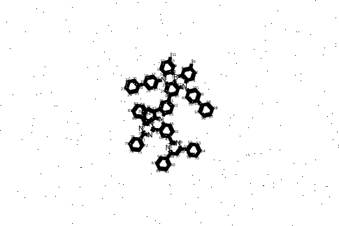 Ic1ccc2c(c1)B1c3cc(I)ccc3N(c3ccc(-c4ccccc4)cc3)c3cc(-c4ccc5c(c4)c4ccccc4n5-c4ccc(-c5nc(-c6ccccc6)cc(-c6ccccc6)n5)cc4-c4nc(-c5ccccc5)nc(-c5ccccc5)n4)cc(c31)N2c1ccc(-c2ccccc2)cc1